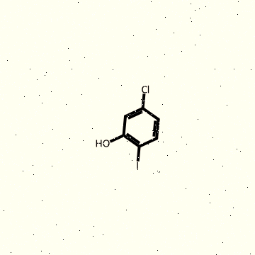 Oc1cc(Cl)ccc1I